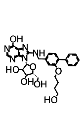 OCCCCOc1cc(CNc2nc3c(O)ncnc3n2[C@@H]2O[C@H](CO)C(O)C2O)ccc1-c1ccccc1